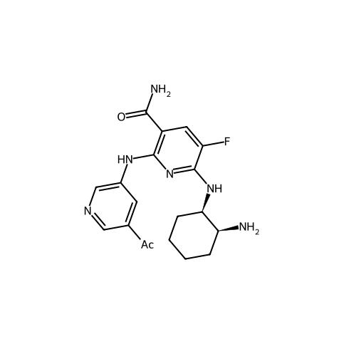 CC(=O)c1cncc(Nc2nc(N[C@@H]3CCCC[C@@H]3N)c(F)cc2C(N)=O)c1